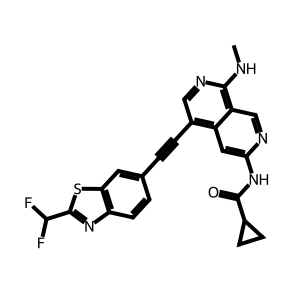 CNc1ncc(C#Cc2ccc3nc(C(F)F)sc3c2)c2cc(NC(=O)C3CC3)ncc12